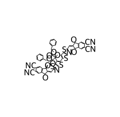 N#Cc1cc2c(cc1C#N)C(=O)C(=Cc1nc3sc4c(c3s1)OC(C(=O)OCc1ccccc1)(C(=O)OCc1ccccc1)c1c-4sc3nc(C=C4C(=O)c5cc(C#N)c(C#N)cc5C4=O)sc13)C2=O